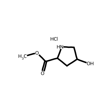 COC(=O)C1CC(O)CN1.Cl